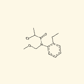 CCc1ccccc1N(COC)C(=O)C(C)Cl